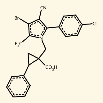 N#Cc1c(Br)c(C(F)(F)F)n(CC2(C(=O)O)CC2c2ccccc2)c1-c1ccc(Cl)cc1